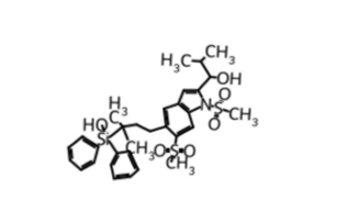 CC(C)C(O)c1cc2cc(CCC(C)(C)[Si](O)(c3ccccc3)c3ccccc3)c(S(C)(=O)=O)cc2n1S(C)(=O)=O